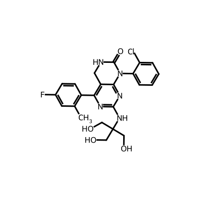 Cc1cc(F)ccc1-c1nc(NC(CO)(CO)CO)nc2c1CNC(=O)N2c1ccccc1Cl